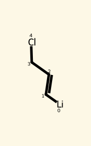 [Li][CH]=CCCl